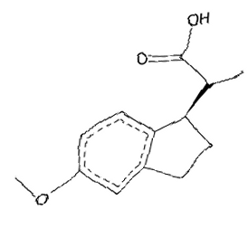 COc1ccc2c(c1)CC[C@@H]2C(C)C(=O)O